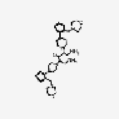 NCC(C(=O)C(CN)N1CC=C(c2ccccc2CN2CCOCC2)CC1)N1CC=C(c2ccccc2CN2CCOCC2)CC1